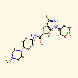 CC(=O)N1CCN([C@H]2CC[C@@H](NC(=O)c3cc4c(C)nn(C5CCOCC5)c4s3)CC2)CC1